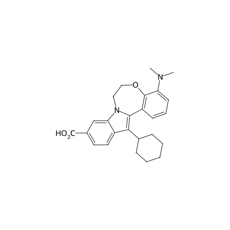 CN(C)c1cccc2c1OCCn1c-2c(C2CCCCC2)c2ccc(C(=O)O)cc21